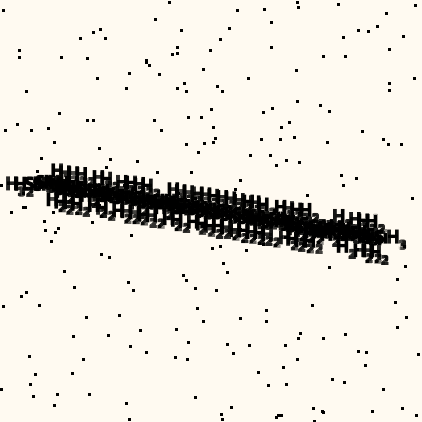 [SiH3][SiH2][SiH2][SiH2][SiH2][SiH2][SiH2][SiH2][SiH2][SiH2][SiH2][SiH2][SiH2][SiH2][SiH2][SiH2][SiH2][SiH2][SiH2][SiH2][SiH2][SiH2][SiH2][SiH2][SiH2][SiH2][SiH2][SiH2][SiH2][SiH2][SiH2][SiH2][SiH2][SiH2][SiH2][SiH2][SiH2][SiH2][SiH2][SiH2][SiH2][SiH2][SiH2][SiH2][SiH2][SiH2][SiH2][SiH2][SiH2][SiH2][SiH2][SiH2][SiH2][SiH2][SiH2][SiH2][SiH2][SiH2][SiH2][SiH2][SiH2][SiH2][SiH2][SiH2][SiH2][SiH2][SiH2][SiH2][SiH2][SiH2][SiH2][SiH2][SiH2][SiH2][SiH2][SiH2][SiH2][SiH2][SiH2][SiH2][SiH2][SiH2][SiH2][SiH3]